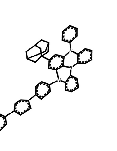 c1ccc(-c2ccc(-c3ccc(N4c5ccccc5B5c6ccccc6N(c6ccccc6)c6cc(C78CC9CC(CC(C9)C7)C8)cc4c65)cc3)cc2)cc1